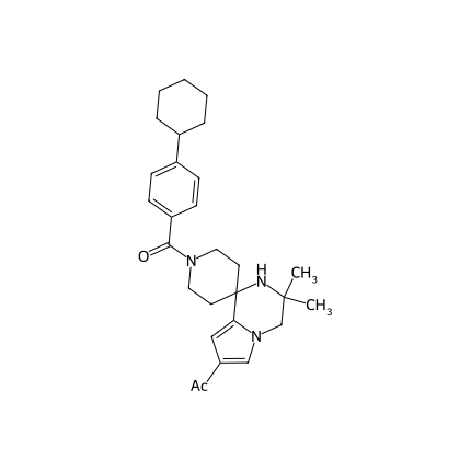 CC(=O)c1cc2n(c1)CC(C)(C)NC21CCN(C(=O)c2ccc(C3CCCCC3)cc2)CC1